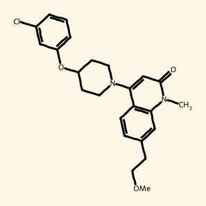 COCCc1ccc2c(N3CCC(Oc4cccc(Cl)c4)CC3)cc(=O)n(C)c2c1